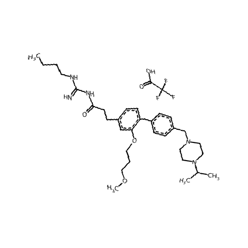 CCCCNC(=N)NC(=O)CCc1ccc(-c2ccc(CN3CCN(C(C)C)CC3)cc2)c(OCCCOC)c1.O=C(O)C(F)(F)F